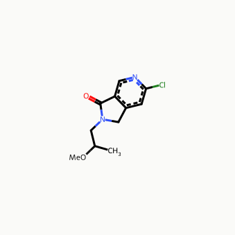 COC(C)CN1Cc2cc(Cl)ncc2C1=O